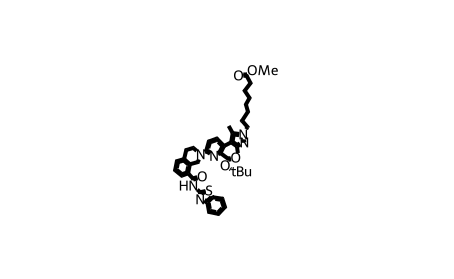 COC(=O)CCCCCCCn1nc(C)c(-c2ccc(N3CCc4cccc(C(=O)Nc5nc6ccccc6s5)c4C3)nc2C(=O)OC(C)(C)C)c1C